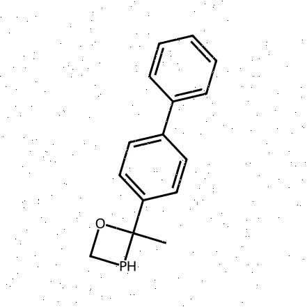 CC1(c2ccc(-c3ccccc3)cc2)OCP1